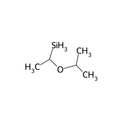 CC(C)OC(C)[SiH3]